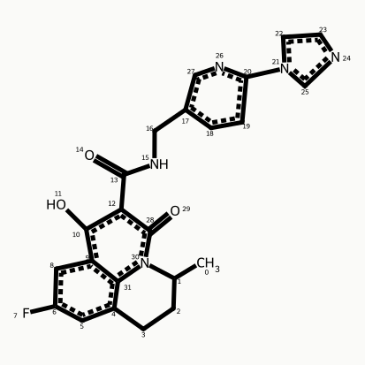 CC1CCc2cc(F)cc3c(O)c(C(=O)NCc4ccc(-n5ccnc5)nc4)c(=O)n1c23